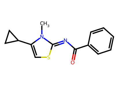 Cn1c(C2CC2)cs/c1=N\C(=O)c1ccccc1